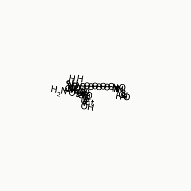 CCc1c2c(nc3ccc(O)cc13)-c1cc3c(c(=O)n1C2)COC(=O)[C@@]3(CC)OC(=O)OCc1ccc(NC(=O)[C@H](CCCCN)NC(=O)[C@H](Cc2ccccc2)NC(=O)COCC(=O)NCCOCCOCCOCCOCCOCCOCCOCCOCCn2cc(CNC(=O)C3CCC(CN4C(=O)C=CC4=O)CC3)nn2)cc1